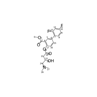 COC(=O)c1cc(-c2ccc(F)cc2F)ccc1OC(=O)CC(O)CN(C)C